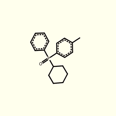 Cc1ccc(P(=O)(c2ccccc2)C2CCCCC2)cc1